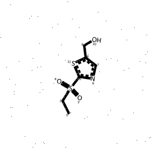 CCS(=O)(=O)c1ncc(CO)s1